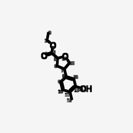 CCOC(=O)C1CC(c2ccc(C)c(O)c2)CO1